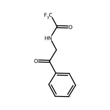 O=C(CNC(=O)C(F)(F)F)c1cc[c]cc1